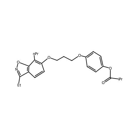 CCCc1c(OCCCOc2ccc(OC(=O)C(C)C)cc2)ccc2c(CC)noc12